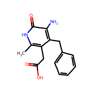 Cc1[nH]c(=O)c(N)c(Cc2ccccc2)c1CC(=O)O